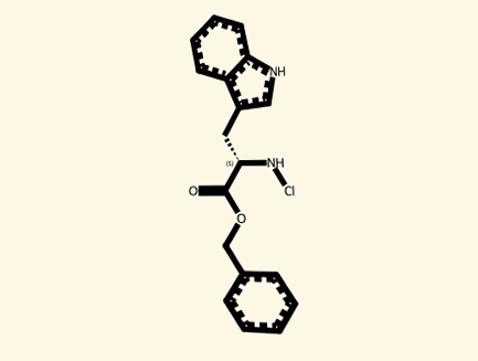 O=C(OCc1ccccc1)[C@H](Cc1c[nH]c2ccccc12)NCl